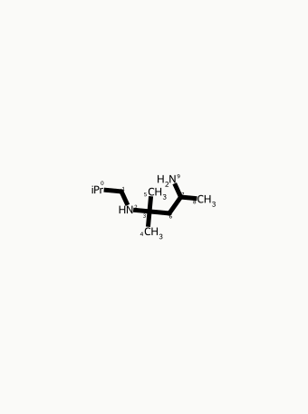 CC(C)CNC(C)(C)CC(C)N